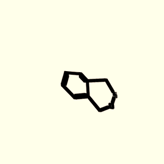 c1ccc2c(c1)COSC2